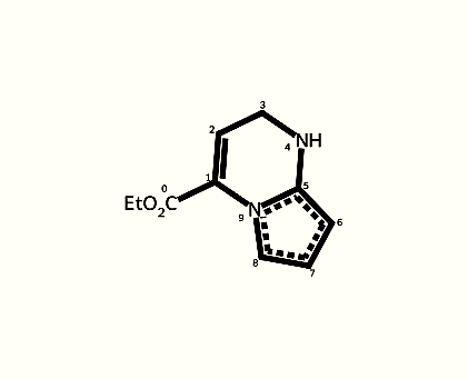 CCOC(=O)C1=CCNc2cccn21